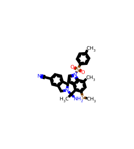 CSc1cc(C)c2c(ccn2S(=O)(=O)c2ccc(C)cc2)c1C(C)(N)N1Cc2ccc(C#N)cc2C1